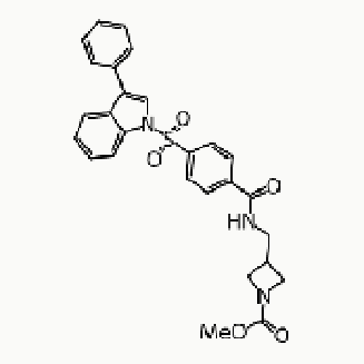 COC(=O)N1CC(CNC(=O)c2ccc(S(=O)(=O)n3cc(-c4ccccc4)c4ccccc43)cc2)C1